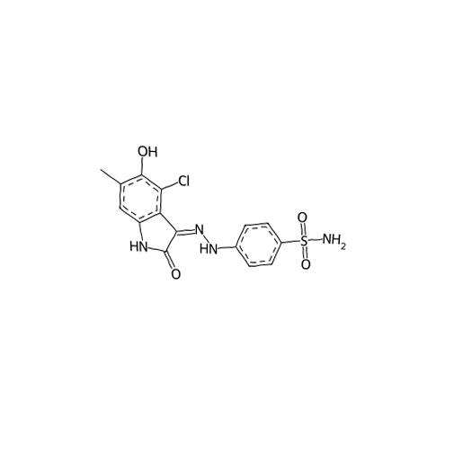 Cc1cc2c(c(Cl)c1O)/C(=N/Nc1ccc(S(N)(=O)=O)cc1)C(=O)N2